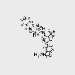 Cn1cnc2ccc(-c3cc(C(F)(F)F)c(N[C@@H]4C[C@@H]5CN(CC6CCOCC6)C[C@@H]5C4)nn3)cc21